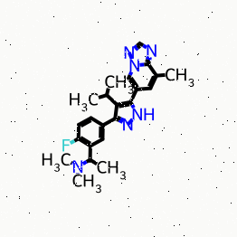 Cc1cc(-c2[nH]nc(-c3ccc(F)c(C(C)N(C)C)c3)c2C(C)C)cn2ncnc12